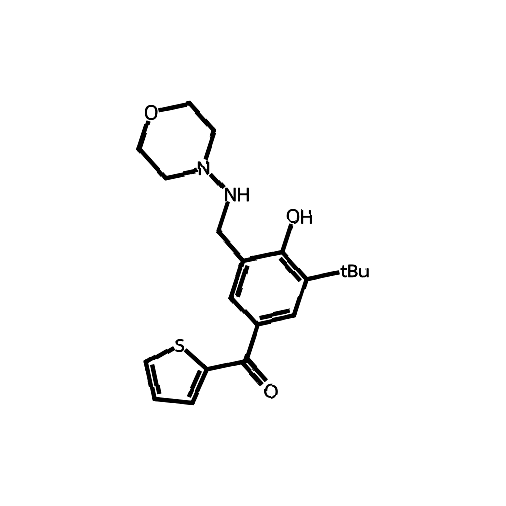 CC(C)(C)c1cc(C(=O)c2cccs2)cc(CNN2CCOCC2)c1O